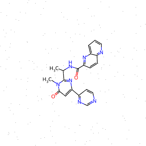 CC(NC(=O)c1ccc2ncccc2n1)c1nc(-c2ccncn2)cc(=O)n1C